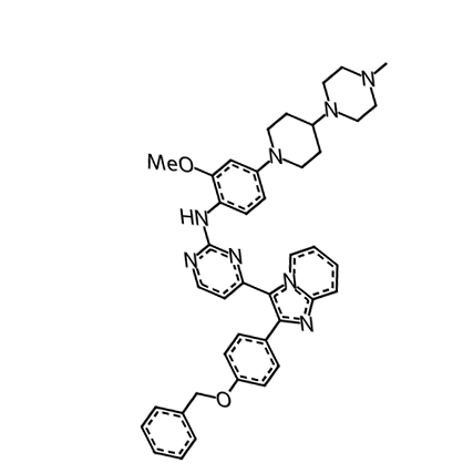 COc1cc(N2CCC(N3CCN(C)CC3)CC2)ccc1Nc1nccc(-c2c(-c3ccc(OCc4ccccc4)cc3)nc3ccccn23)n1